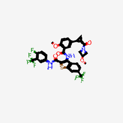 COc1ccc(C2CC2C(=O)N2CC(OC)C2)cc1C(=O)Nc1c(C(=O)Nc2ccc(F)c(C(F)(F)F)c2)sc2cc(C(F)(F)F)ccc12